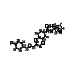 O=C(N[C@H]1CN2CCC1CC2)c1ccc2c(c1)OC[C@@H](COCc1ccc(F)cc1)O2